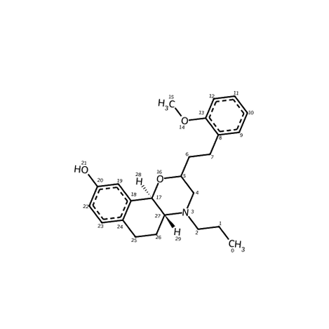 CCCN1CC(CCc2ccccc2OC)O[C@@H]2c3cc(O)ccc3CC[C@H]21